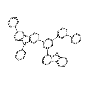 c1ccc(-c2cccc(-c3cc(-c4ccc5c6cc(-c7ccccc7)ccc6n(-c6ccccc6)c5c4)cc(-c4cccc5c4sc4ccccc45)c3)c2)cc1